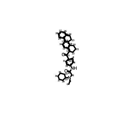 CCN(CC(=O)Nc1ccc(C(=O)C2=c3ccc4c(c3CCC2)CC=c2ccccc2=4)cc1)C1CCCCC1